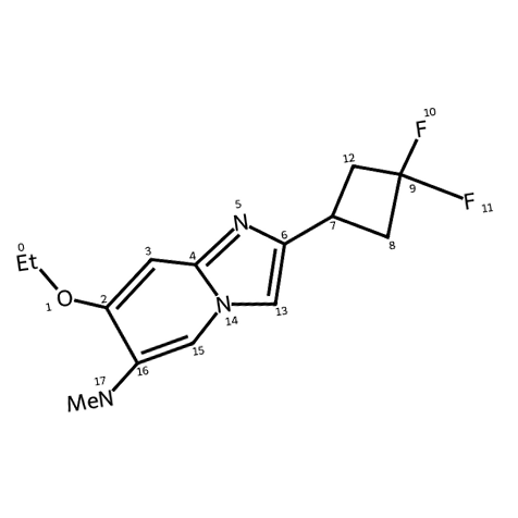 CCOc1cc2nc(C3CC(F)(F)C3)cn2cc1NC